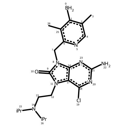 Bc1c(C)cnc(Cn2c(=O)n(CCN(C(C)C)C(C)C)c3c(Cl)nc(N)nc32)c1C